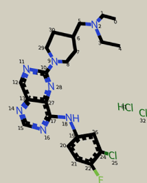 CCN(CC)CC1CCN(c2ncc3ncnc(Nc4ccc(F)c(Cl)c4)c3n2)CC1.Cl.Cl